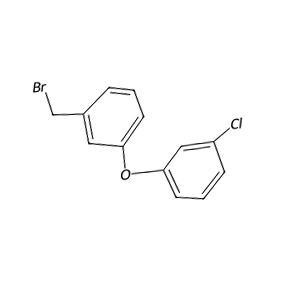 Clc1cccc(Oc2cccc(CBr)c2)c1